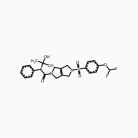 CC(C)(O)[C@@H](C(=O)N1CC2=C(C1)CN(S(=O)(=O)c1ccc(OC(F)F)cc1)C2)c1ccccc1